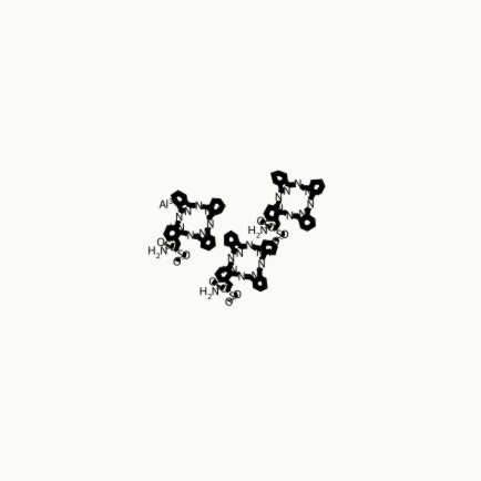 NS(=O)(=O)c1ccc2c3nc4nc(nc5[nH]c(nc6nc(nc([nH]3)c2c1CCS(=O)[O-])-c1ccccc1-6)c1ccccc51)-c1ccccc1-4.NS(=O)(=O)c1ccc2c3nc4nc(nc5[nH]c(nc6nc(nc([nH]3)c2c1CCS(=O)[O-])-c1ccccc1-6)c1ccccc51)-c1ccccc1-4.NS(=O)(=O)c1ccc2c3nc4nc(nc5[nH]c(nc6nc(nc([nH]3)c2c1CCS(=O)[O-])-c1ccccc1-6)c1ccccc51)-c1ccccc1-4.[Al+3]